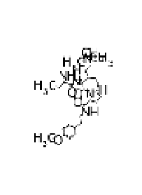 CC[C@H](N)C(=O)NC1C(=O)N2[C@@H](CC[C@@H]1CC[N+](C)(C)C)CC[C@H]2C(=O)NCCc1ccc(OC)cc1